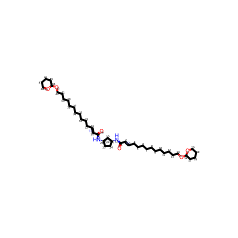 O=C(/C=C/CCCCCCCCCCCOC1CCCCO1)N[C@@H]1CC[C@H](NC(=O)/C=C/CCCCCCCCCCCOC2CCCCO2)C1